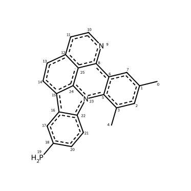 Cc1cc(C)c2c(c1)c1nccc3ccc4c5cc(P)ccc5n2c4c31